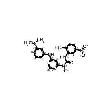 Cc1ccc([N+](=O)[O-])cc1NC(=O)N(C)c1cc(Nc2cccc(N(C)C)c2)ncn1